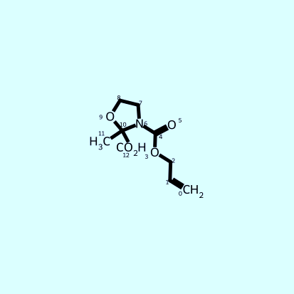 C=CCOC(=O)N1CCOC1(C)C(=O)O